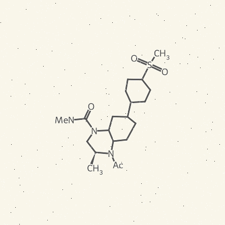 CNC(=O)N1C[C@H](C)N(C(C)=O)C2CCC(C3CCC(S(C)(=O)=O)CC3)CC21